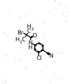 CC(C)(Br)C(=O)Nc1ccc(C#N)c(Cl)c1